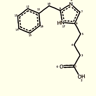 O=C(O)CCCc1cnc(Cc2ccccc2)[nH]1